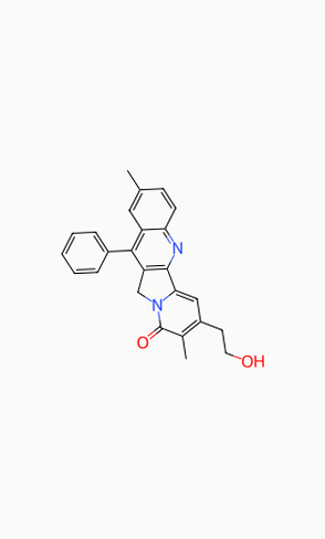 Cc1ccc2nc3c(c(-c4ccccc4)c2c1)Cn1c-3cc(CCO)c(C)c1=O